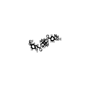 Cn1c(C(=O)N2C[C@@H]3[C@H]4CN(C(=O)c5ccc6[nH]nnc6c5)C[C@H]4[C@@H]3C2)cc2cc(OC(F)(F)F)ccc21